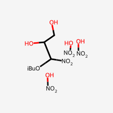 CC(C)COC(C(O)CO)[N+](=O)[O-].O=[N+]([O-])O.O=[N+]([O-])O.O=[N+]([O-])O